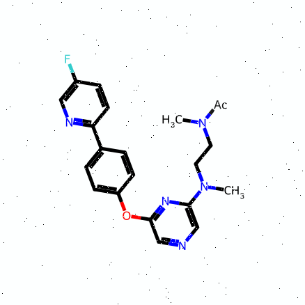 CC(=O)N(C)CCN(C)c1cncc(Oc2ccc(-c3ccc(F)cn3)cc2)n1